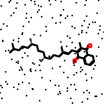 CC1=C(C/C=C(\C)CCC[C@H](C)CCC[C@@H](C)CCCC(C)C)C(=O)C2=CC=CCC2C1=O